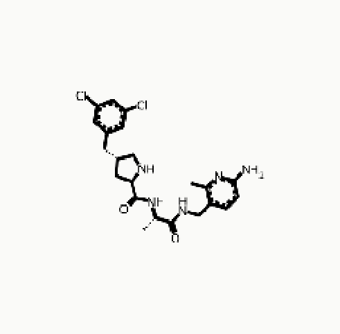 Cc1nc(N)ccc1CNC(=O)[C@H](C)NC(=O)C1C[C@H](Cc2cc(Cl)cc(Cl)c2)CN1